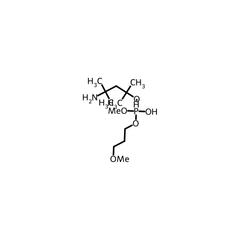 COCCCO[PH](O)(OC)OC(C)(C)CC(C)(C)N